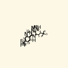 CC(C)(C)CCC(Nc1ncnc2cc(C(F)(F)F)ccc12)c1nn[nH]n1